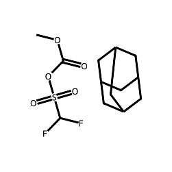 C1C2CC3CC1CC(C2)C3.COC(=O)OS(=O)(=O)C(F)F